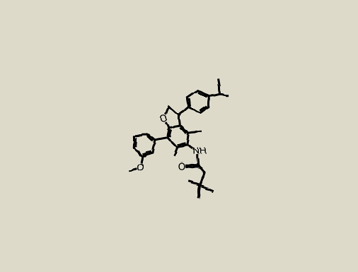 COc1cccc(-c2c(C)c(NC(=O)CC(C)(C)C)c(C)c3c2OCC3c2ccc(C(C)C)cc2)c1